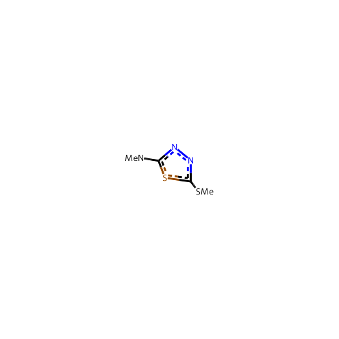 [CH2]Sc1nnc(NC)s1